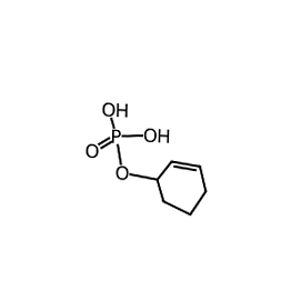 O=P(O)(O)OC1C=CCCC1